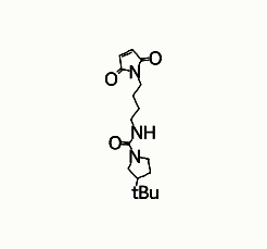 CC(C)(C)C1CCN(C(=O)NCCCCN2C(=O)C=CC2=O)C1